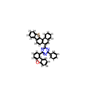 c1ccc(-c2nc(-c3cc4ccccc4c4c3ccc3c5ccccc5sc34)nc(-c3cccc4oc5ccccc5c34)n2)cc1